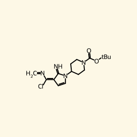 C=N/C(Cl)=C1/C=CN(C2CCN(C(=O)OC(C)(C)C)CC2)C1=N